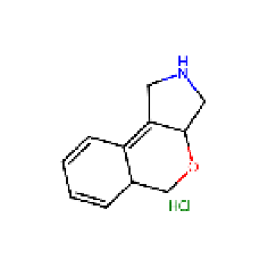 C1=CC2=C3CNCC3OCC2C=C1.Cl